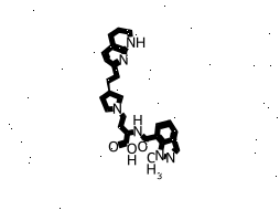 Cn1ncc2cccc(C(=O)NC(CCN3CC[C@@H](CCc4ccc5c(n4)NCCC5)C3)C(=O)O)c21